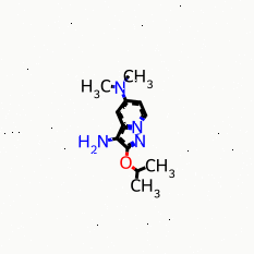 CC(C)Oc1nn2ccc(N(C)C)cc2c1N